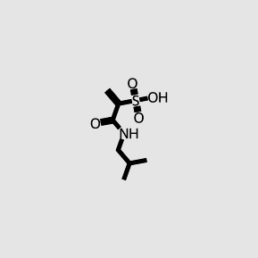 C=C(C(=O)NCC(C)C)S(=O)(=O)O